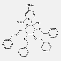 COc1ccc([C@]2(O)O[C@H](COCc3ccccc3)[C@@H](OCc3ccccc3)[C@H](OCc3ccccc3)[C@H]2OCc2ccccc2)c(OC)c1